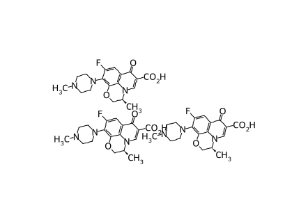 C[C@H]1COc2c(N3CCN(C)CC3)c(F)cc3c(=O)c(C(=O)O)cn1c23.C[C@H]1COc2c(N3CCN(C)CC3)c(F)cc3c(=O)c(C(=O)O)cn1c23.C[C@H]1COc2c(N3CCN(C)CC3)c(F)cc3c(=O)c(C(=O)O)cn1c23